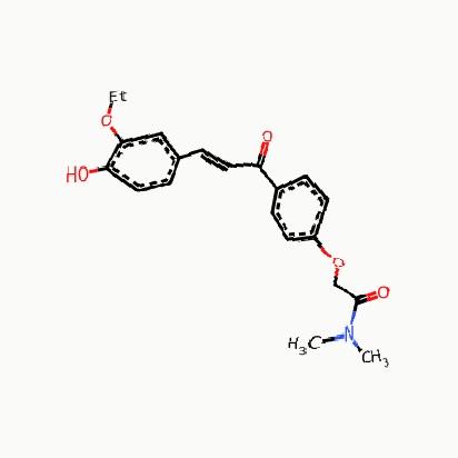 CCOc1cc(/C=C/C(=O)c2ccc(OCC(=O)N(C)C)cc2)ccc1O